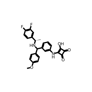 COc1ccc(C(N[C@@H](C)c2ccc(F)c(F)c2)c2cccc(Nc3c(O)c(=O)c3=O)c2)cc1